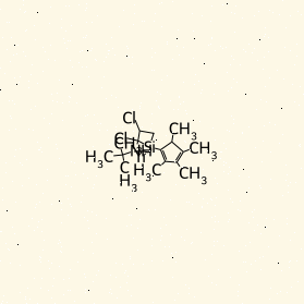 CC1=C(C)C(C)C([Si]2([Ti])CC(Cl)C2(Cl)NC(C)(C)C)=C1C